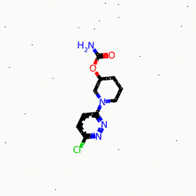 NC(=O)OC1CCCN(c2ccc(Cl)nn2)C1